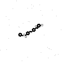 O=C(OCc1ccccc1)c1ccc(C=Cc2ccc(-c3cc4cc(Cl)ccc4o3)cc2)cc1